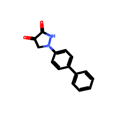 O=C1CN(c2ccc(-c3ccccc3)cc2)NC1=O